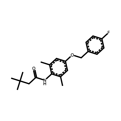 Cc1cc(OCc2ccc(F)cc2)cc(C)c1NC(=O)CC(C)(C)C